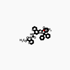 COC(=O)c1ncccc1NC(=O)Nc1ccc(C[C@H](NC(c2ccccc2)(c2ccccc2)c2ccccc2)C(=O)OC)c2cccnc12